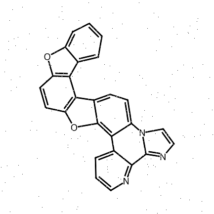 c1ccc2c(c1)oc1ccc3oc4c(ccc5c4c4cccnc4c4nccn54)c3c12